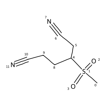 CS(=O)(=O)C(CC#N)CCC#N